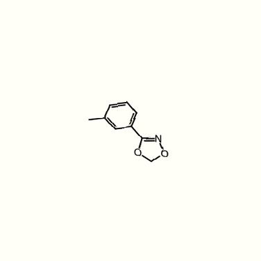 Cc1cccc(C2=NOCO2)c1